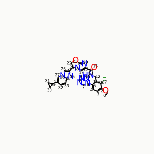 COC1=CC=C(n2cnnn2)C(CNC(=O)c2cn3c(n2)OCC3c2cn3cc(C4CC4)ccc3n2)C1F